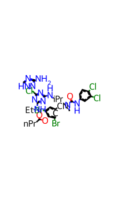 CCCC(=O)Oc1c(Br)cc(C#N)cc1Br.CCNc1nc(Cl)nc(NC(C)C)n1.CN(C)C(=O)Nc1ccc(Cl)c(Cl)c1.Nc1nc[nH]n1